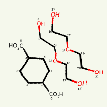 O=C(O)C1CCC(C(=O)O)CC1.OCCOCCO.OCCOCCO